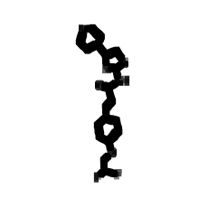 O=C(C=Cc1ccc(OCC(F)F)cc1)Nc1nc(-c2ccncc2)cs1